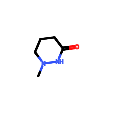 CN1CCCC(=O)N1